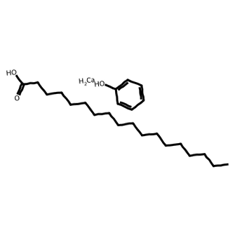 CCCCCCCCCCCCCCCCCC(=O)O.Oc1ccccc1.[CaH2]